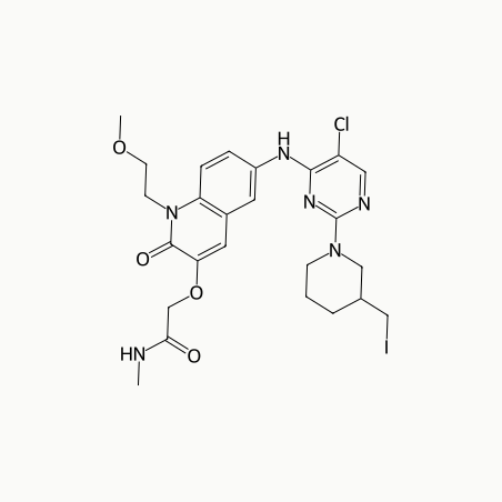 CNC(=O)COc1cc2cc(Nc3nc(N4CCCC(CI)C4)ncc3Cl)ccc2n(CCOC)c1=O